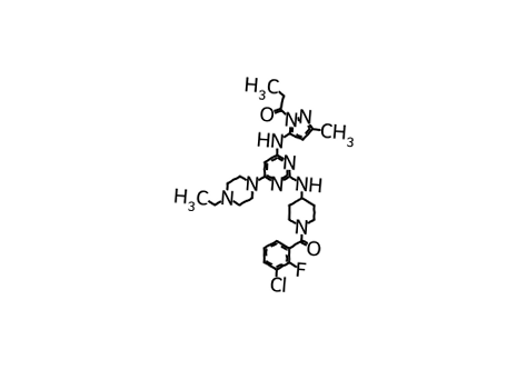 CCC(=O)n1nc(C)cc1Nc1cc(N2CCN(CC)CC2)nc(NC2CCN(C(=O)c3cccc(Cl)c3F)CC2)n1